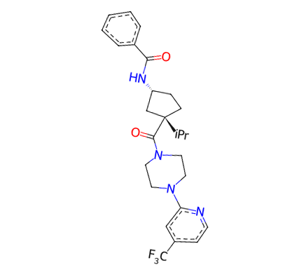 CC(C)[C@]1(C(=O)N2CCN(c3cc(C(F)(F)F)ccn3)CC2)CC[C@@H](NC(=O)c2ccccc2)C1